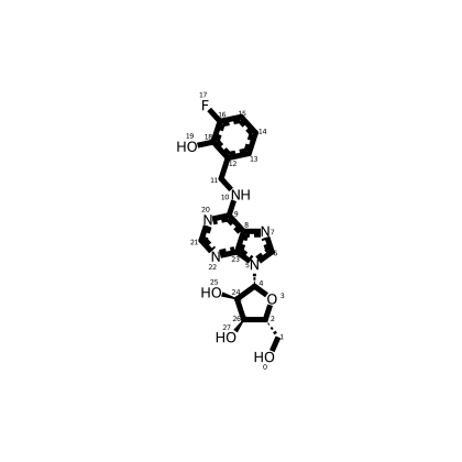 OC[C@H]1O[C@@H](n2cnc3c(NCc4cccc(F)c4O)ncnc32)[C@H](O)[C@@H]1O